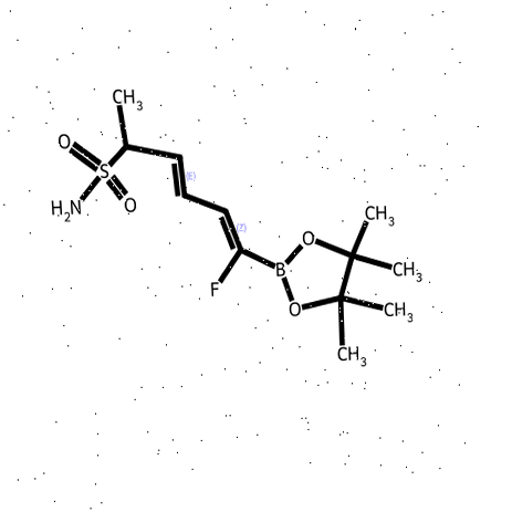 CC(/C=C/C=C(\F)B1OC(C)(C)C(C)(C)O1)S(N)(=O)=O